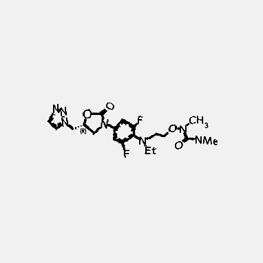 CCN(CCON(C)C(=O)NC)c1c(F)cc(N2C[C@H](Cn3ccnn3)OC2=O)cc1F